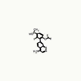 CB(O)c1ccc(OC(F)F)c(-c2ccc3c(N)cnnc3c2)c1F